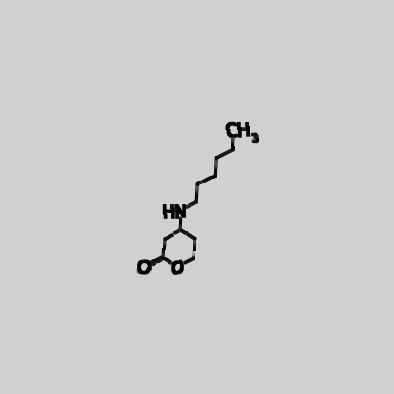 CCCCCCNC1CCOC(=O)C1